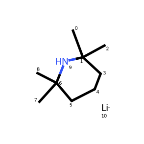 CC1(C)CCCC(C)(C)N1.[Li]